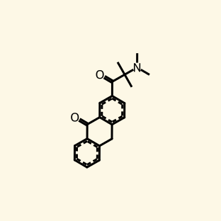 CN(C)C(C)(C)C(=O)c1ccc2c(c1)C(=O)c1ccccc1C2